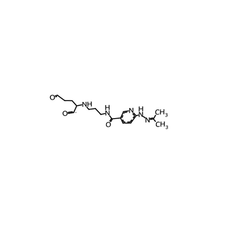 CC(C)=NNc1ccc(C(=O)NCCCNC([C]=O)CCC=O)cn1